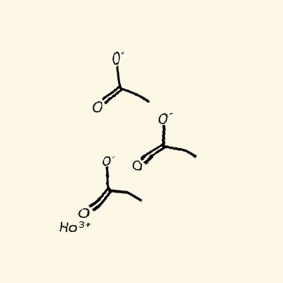 CC(=O)[O-].CC(=O)[O-].CC(=O)[O-].[Ho+3]